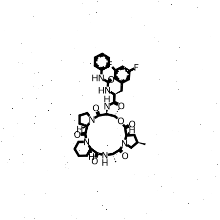 C[C@@H]1C[C@H]2C(=O)O[C@@H](C)[C@H](NC(=O)[C@H](Cc3cc(F)cc(F)c3)NC(=O)Nc3ccccc3)C(=O)N3CCC[C@H]3C(=O)N3CCCC[C@H]3C(=O)N[C@@H](C)C(=O)N2C1